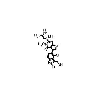 C=C(N)CN(C)c1nc2[nH]cc(-c3ccc4nn(CC)c(CO)c4c3Cl)c2c(=O)n1C